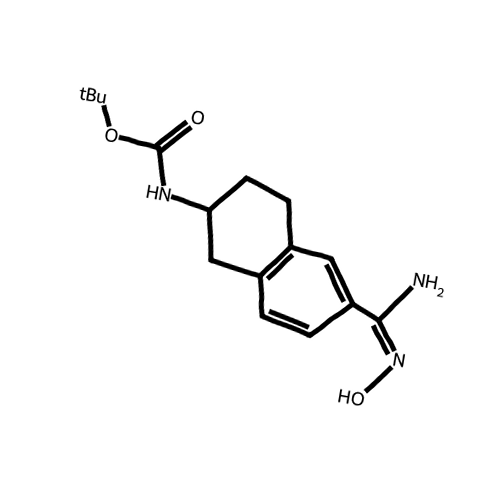 CC(C)(C)OC(=O)NC1CCc2cc(/C(N)=N\O)ccc2C1